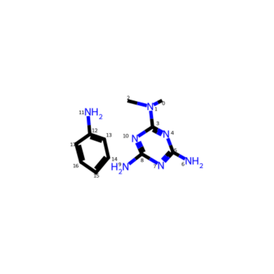 CN(C)c1nc(N)nc(N)n1.Nc1ccccc1